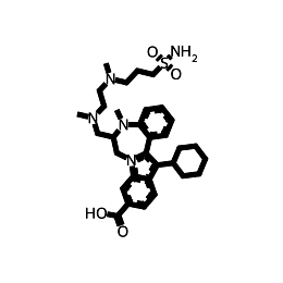 CN(CCCS(N)(=O)=O)CCN(C)CC1Cn2c(c(C3CCCCC3)c3ccc(C(=O)O)cc32)-c2ccccc2N1C